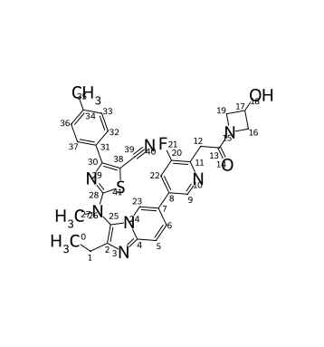 CCc1nc2ccc(-c3cnc(CC(=O)N4CC(O)C4)c(F)c3)cn2c1N(C)c1nc(-c2ccc(C)cc2)c(C#N)s1